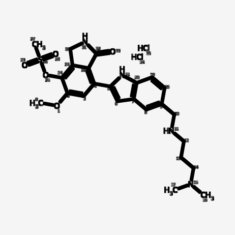 COc1cc(-c2cc3cc(CNCCCN(C)C)ccc3[nH]2)c2c(c1OS(C)(=O)=O)CNC2=O.Cl.Cl